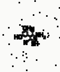 N#Cc1c(N)nc(S)c(C#N)c1-c1cc(O)cc(O)c1